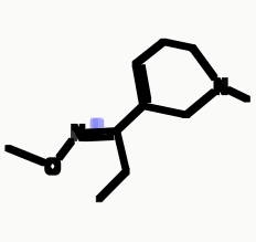 CC/C(=N\OC)C1=CCCN(C)C1